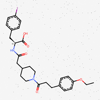 CCOc1ccc(CCC(=O)N2CCC(CC(=O)N[C@@H](Cc3ccc(I)cc3)C(=O)O)CC2)cc1